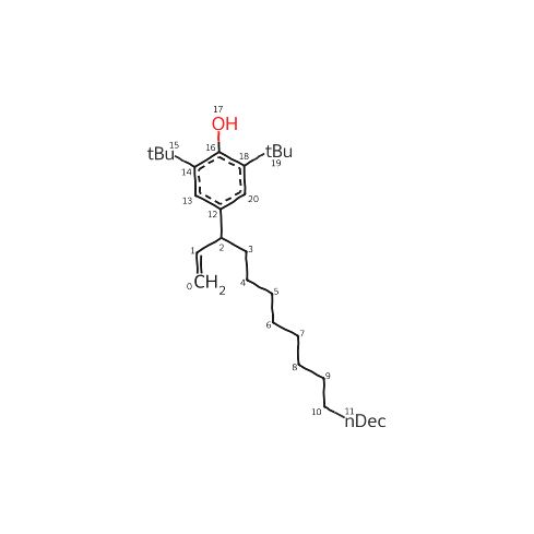 C=CC(CCCCCCCCCCCCCCCCCC)c1cc(C(C)(C)C)c(O)c(C(C)(C)C)c1